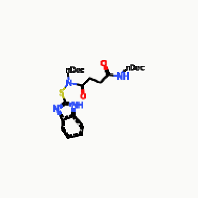 CCCCCCCCCCNC(=O)CCC(=O)N(CCCCCCCCCC)Sc1nc2ccccc2[nH]1